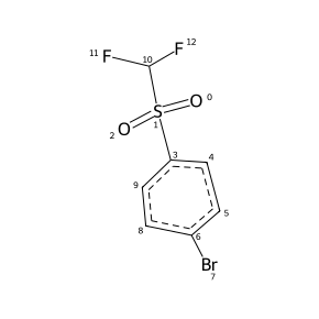 O=S(=O)(c1ccc(Br)cc1)C(F)F